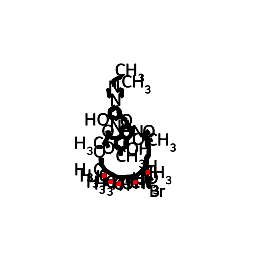 C/C1=C/C=C/[C@H](C)[C@H](OC(=O)CBr)[C@@H](C)[C@@H](O)[C@@H](C)[C@H](C)[C@H](C)[C@@H](C)/C=C/O[C@@]2(C)Oc3c(C)c(O)c4c(=O)c(c5oc6cc(N7CCN(CC(C)C)CC7)cc(O)c6nc-5c4c3C2=O)NC1=O